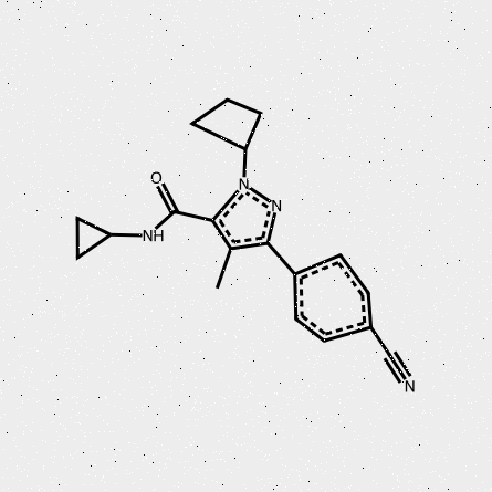 Cc1c(-c2ccc(C#N)cc2)nn(C2CCC2)c1C(=O)NC1CC1